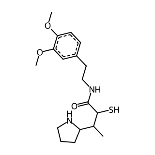 COc1ccc(CCNC(=O)C(S)C(C)C2CCCN2)cc1OC